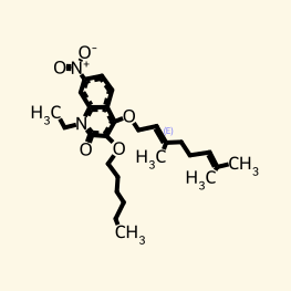 CCCCCCOc1c(OC/C=C(\C)CCC=C(C)C)c2ccc([N+](=O)[O-])cc2n(CC)c1=O